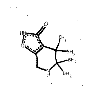 BC1(B)NCc2o[nH]c(=O)c2C1(B)B